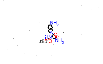 CC(C)(C)OC(=O)N[C@H](CC(N)=O)C(=O)N1CCc2ccc(N)cc2C1